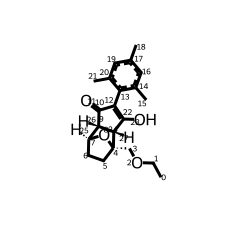 CCOC[C@]12CC[C@H](O1)[C@@H]1C(=O)C(c3c(C)cc(C)cc3C)=C(O)[C@@H]12